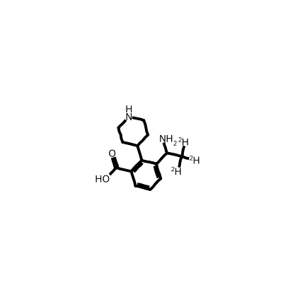 [2H]C([2H])([2H])C(N)c1cccc(C(=O)O)c1C1CCNCC1